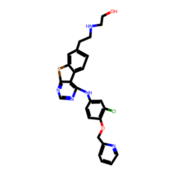 OCCNCCc1ccc2c(c1)sc1ncnc(Nc3ccc(OCc4ccccn4)c(Cl)c3)c12